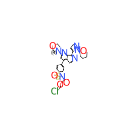 C[C@@H]1COCCN1c1cc(-c2ccc(S(C)(=O)=NC(=O)OCCl)cc2)c2ccnc(-c3ccnn3C3CCCCO3)c2n1